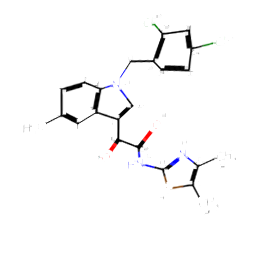 Cc1ccc2c(c1)c(C(=O)C(=O)Nc1nc(C)c(C)s1)cn2Cc1ccc(Cl)cc1Cl